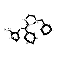 Cc1sccc1S[C@H](c1ccccc1)[C@H]1CN(Cc2ccccc2)CCO1